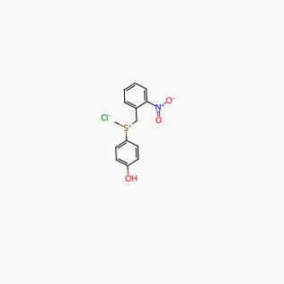 C[S+](Cc1ccccc1[N+](=O)[O-])c1ccc(O)cc1.[Cl-]